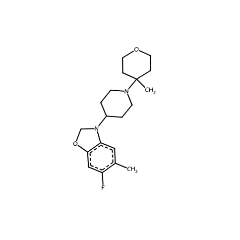 Cc1cc2c(cc1F)OCN2C1CCN(C2(C)CCOCC2)CC1